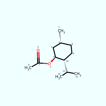 CC(=O)O[C@H]1C[C@H](C)CC[C@@H]1C(C)C